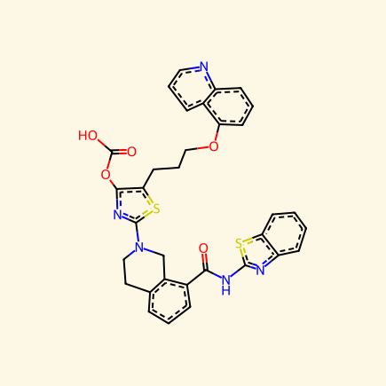 O=C(O)Oc1nc(N2CCc3cccc(C(=O)Nc4nc5ccccc5s4)c3C2)sc1CCCOc1cccc2ncccc12